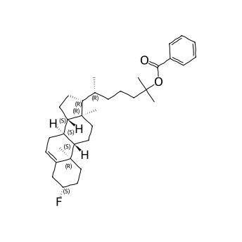 C[C@H](CCCC(C)(C)OC(=O)c1ccccc1)[C@H]1CC[C@H]2[C@@H]3CC=C4C[C@@H](F)CC[C@]4(C)[C@H]3CC[C@]12C